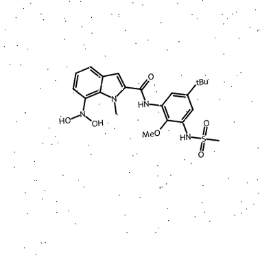 COc1c(NC(=O)c2cc3cccc(N(O)O)c3n2C)cc(C(C)(C)C)cc1NS(C)(=O)=O